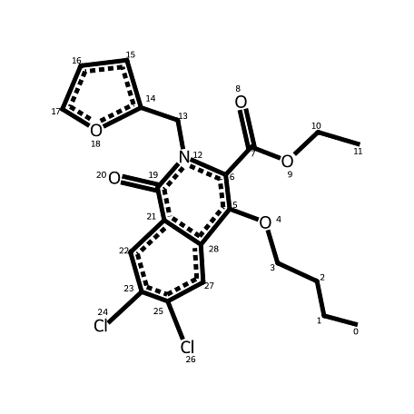 CCCCOc1c(C(=O)OCC)n(Cc2ccco2)c(=O)c2cc(Cl)c(Cl)cc12